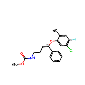 CC(C)(C)OC(=O)NCCC[C@@H](Oc1cc(Cl)c(F)cc1C#N)c1ccccc1